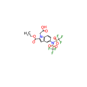 CCOC(=O)c1cc2cc(N(S(=O)(=O)C(F)(F)F)S(=O)(=O)C(F)(F)F)ccc2n1CC(=O)O